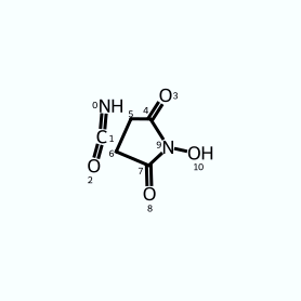 N=C=O.O=C1CCC(=O)N1O